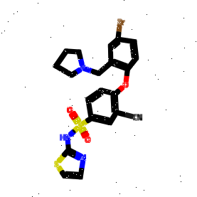 N#Cc1cc(S(=O)(=O)Nc2nccs2)ccc1Oc1ccc(Br)cc1CN1CCCC1